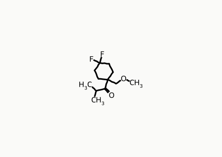 COCC1(C(=O)C(C)C)CCC(F)(F)CC1